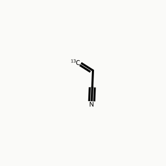 [13CH2]=CC#N